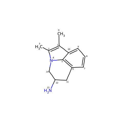 Cc1c(C)n2c3c(cccc13)CC(N)C2